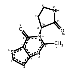 Cc1nc2ccsc2c(=O)n1[C@H]1CCNC1=O